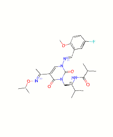 COc1ccc(F)cc1/C=N/n1cc(/C(C)=N/OC(C)C)c(=O)n(C[C@@H](NC(=O)C(C)C)C(C)C)c1=O